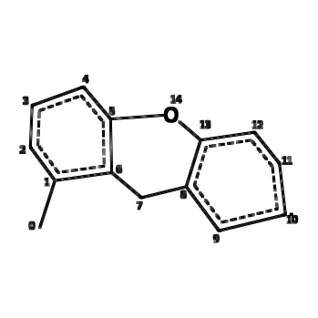 Cc1cccc2c1Cc1c[c]ccc1O2